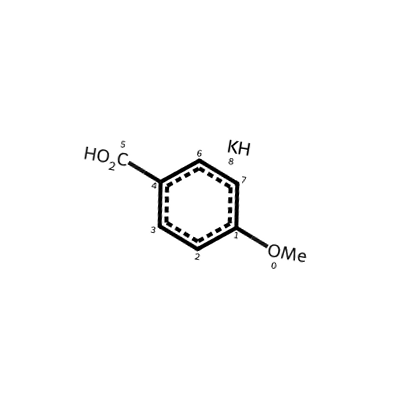 COc1ccc(C(=O)O)cc1.[KH]